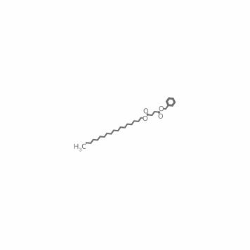 CCCCCCCCCCCCCCCCCCOC(=O)CCC(=O)OCc1ccccc1